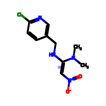 CN(C)/C(=C\[N+](=O)[O-])NCc1ccc(Cl)nc1